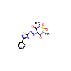 CCCN1C(=O)C(N=Nc2nc(-c3ccccc3)ns2)C(=O)N(CCC)S1(=O)=O